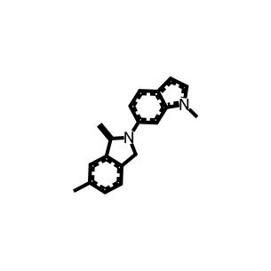 C=C1c2cc(C)ccc2CN1c1ccc2ccn(C)c2c1